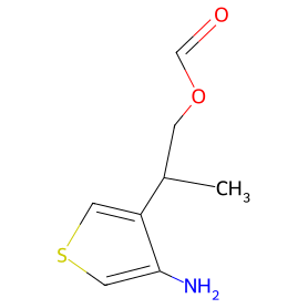 CC(COC=O)c1cscc1N